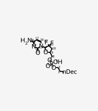 CCCCCCCCCCCCOP(=O)(O)OCC1CC(F)(F)C(n2ccc(N)nc2=O)O1